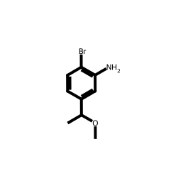 COC(C)c1ccc(Br)c(N)c1